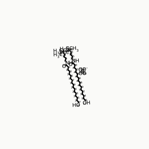 C[N+](C)(C)CCCCNC(=O)CCCCCCCCCCCCCCCCCO.C[N+](C)(C)CCCCNC(=O)CCCCCCCCCCCCCCCCCO.O=S(=O)([O-])[O-]